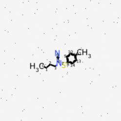 CCCCN(C#N)Sc1ccc(C)cc1